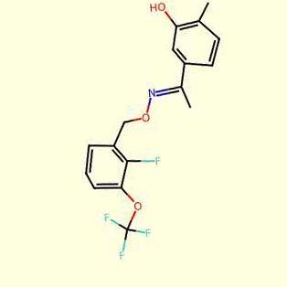 C/C(=N\OCc1cccc(OC(F)(F)F)c1F)c1ccc(C)c(O)c1